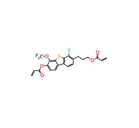 C=CC(=O)OCCCc1ccc2c(sc3c(OC(F)(F)F)c(OC(=O)C=C)ccc32)c1F